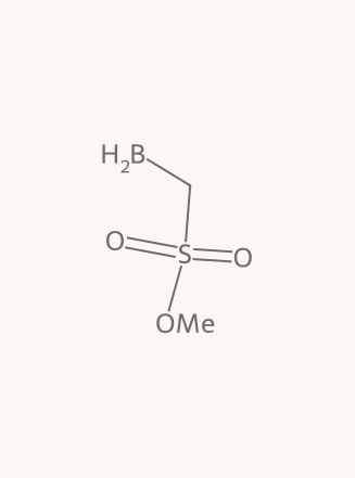 BCS(=O)(=O)OC